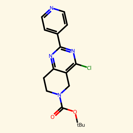 CC(C)(C)OC(=O)N1CCc2nc(-c3ccncc3)nc(Cl)c2C1